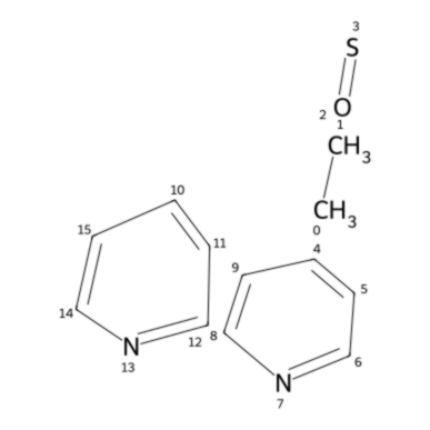 CC.O=S.c1ccncc1.c1ccncc1